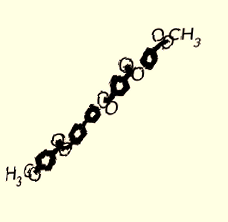 COC(=O)c1ccc(OC(=O)c2ccc(C(=O)Oc3ccc(-c4ccc(OC(=O)c5ccc(OC)cc5)cc4)cc3)cc2)cc1